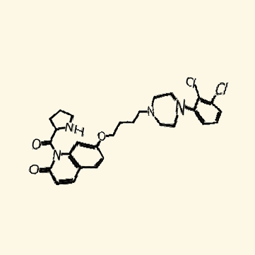 O=C(C1CCCN1)n1c(=O)ccc2ccc(OCCCCN3CCN(c4cccc(Cl)c4Cl)CC3)cc21